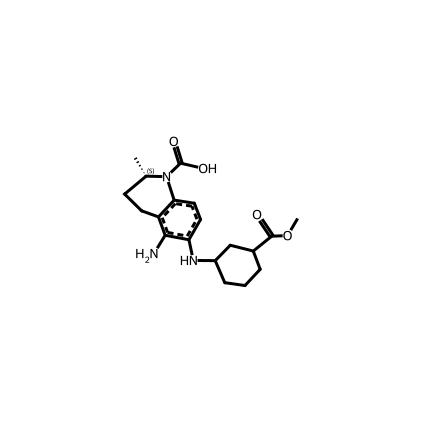 COC(=O)C1CCCC(Nc2ccc3c(c2N)CC[C@H](C)N3C(=O)O)C1